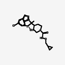 CC1(C2CCN(C(=O)NOCC3CC3)CC2)[C@H](O)c2cc(Cl)cc3cnn1c23